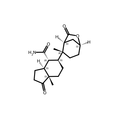 C[C@]1([C@H]2CC[C@]3(C)C(=O)CC[C@H]3[C@@H]2C(N)=O)CC[C@H]2C[C@@H]1C(=O)O2